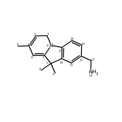 CC1=CCN2C(=C1)C(C)(C)c1cc(CN)ccc12